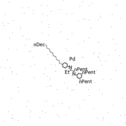 CCCCCCCCCCCCCCCCCCCCc1ccc(/N=C(CC)/C(CCCCC)=N/c2cc(CCCCC)cc(CCCCC)c2)cc1.[Pd]